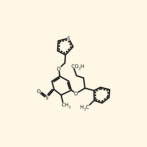 Cc1ccccc1C(CCC(=O)O)OC1=CC(OCc2ccsc2)=CC(=S=O)C1C